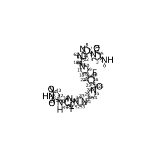 CNc1ccn(-c2ccnc3c2cc([C@H](C)N2CC=C(c4c(C)cc(C(=O)N5CCC(CN6CCN(c7ncc(NC8CCC(=O)NC8=O)cc7F)CC6)CC5)cc4F)CC2)n3C)c(=O)c1